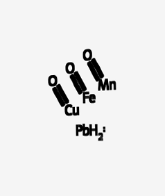 [O]=[Cu].[O]=[Fe].[O]=[Mn].[PbH2]